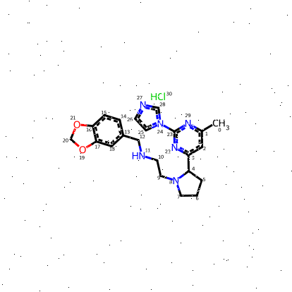 Cc1cc(C2CCCN2CCNCc2ccc3c(c2)OCO3)nc(-n2ccnc2)n1.Cl